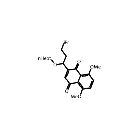 CCCCCCCOC(CCC(C)C)C1=CC(=O)c2c(OC)ccc(OC)c2C1=O